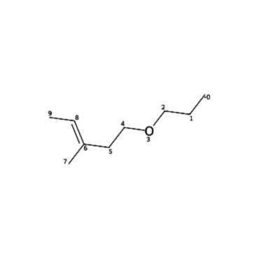 [CH2]CCOCCC(C)=CC